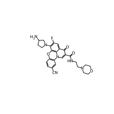 N#Cc1ccc2c(c1)-n1cc(C(=O)NCCN3CCOCC3)c(=O)c3cc(F)c(N4CCC(N)C4)c(c31)O2